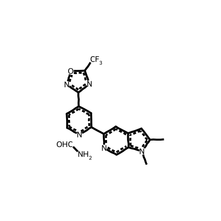 Cc1cc2cc(-c3cc(-c4noc(C(F)(F)F)n4)ccn3)ncc2n1C.NC=O